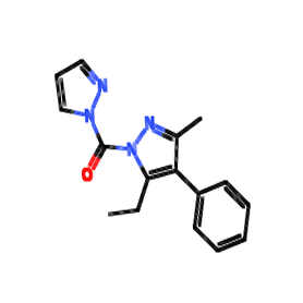 CCc1c(-c2ccccc2)c(C)nn1C(=O)n1cccn1